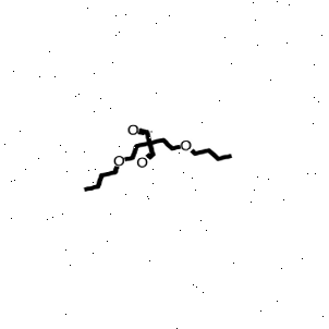 CCCCOCCC([C]=O)(C=O)CCOCCCC